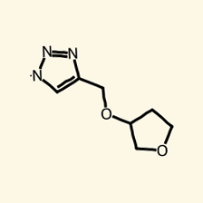 C1=C(COC2CCOC2)N=N[N]1